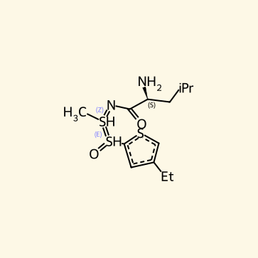 CCc1csc(/[SH](=O)=[SH](/C)=N\C(=O)[C@@H](N)CC(C)C)c1